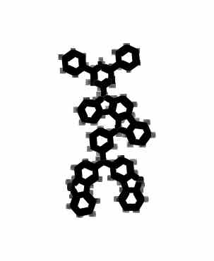 c1ccc(-c2nc(-c3ccccc3)nc(-n3c4ccccc4c4c3ccc3c5ccccc5n(-c5cccc(B(c6ccc7oc8ccccc8c7c6)c6ccc7oc8ccccc8c7c6)c5)c34)n2)cc1